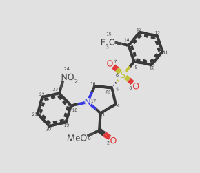 COC(=O)C1C[C@@H](S(=O)(=O)c2ccccc2C(F)(F)F)CN1c1ccccc1[N+](=O)[O-]